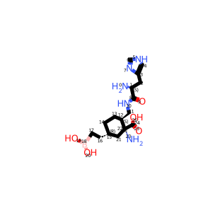 N[C@@H](Cc1c[nH]cn1)C(=O)NC[C@@H]1CC[C@@H](CCB(O)O)C[C@]1(N)C(=O)O